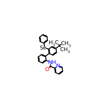 CC(C)(C)c1ccc(-c2ccccc2NC(=O)c2ccccn2)c([Se]c2ccccc2)c1